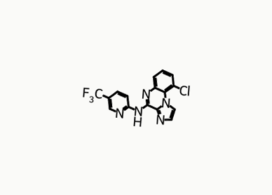 FC(F)(F)c1ccc(Nc2nc3cccc(Cl)c3n3ccnc23)nc1